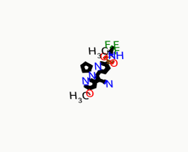 COc1cnc2c(c1)c(C#N)c(-c1ccc(S(=O)(=O)N[C@@H](C)C(F)(F)F)cn1)n2C1CCCC1